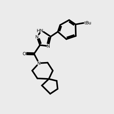 CC(C)(C)c1ccc(-c2nc(C(=O)N3CCC4(CCCC4)CC3)n[nH]2)cc1